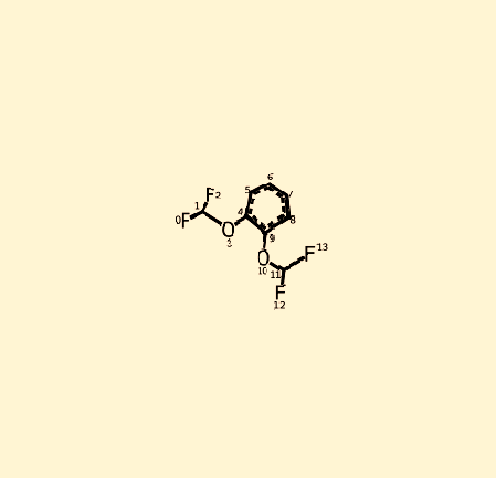 FC(F)Oc1ccccc1OC(F)F